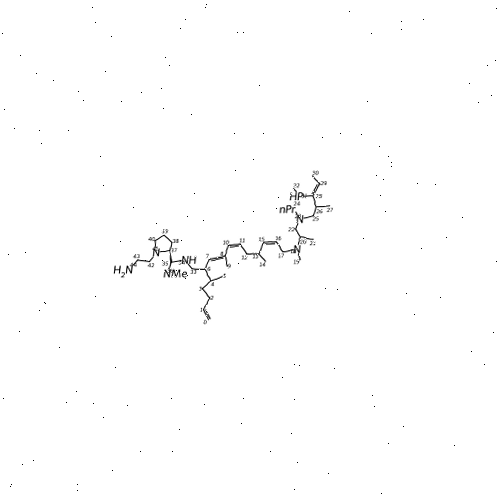 C=CCCC(C)C(/C=C(C)/C=C\CC(C)/C=C\CN(C)C(C)CN(CCC)CC(C)/C(=C/C)PC)CNC(NC)[C@@H]1CCCN1CCN